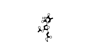 COC(=O)C=C[C@H]1O[C@@H](n2cc(C)c(=O)[nH]c2=O)CC1OC(C)=O